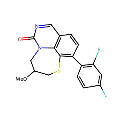 COC1CSc2c(-c3ccc(F)cc3F)ccc3cnc(=O)n(c23)C1